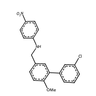 COc1ccc(CNc2ccc([N+](=O)[O-])cc2)cc1-c1cccc(Cl)c1